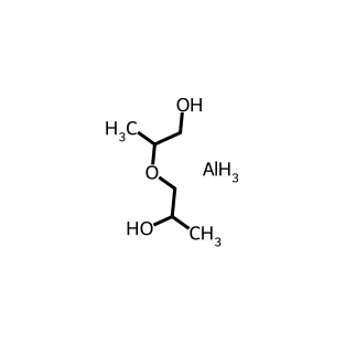 CC(O)COC(C)CO.[AlH3]